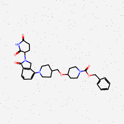 O=C1CCC(N2Cc3c(cccc3N3CCC(COC4CCN(C(=O)OCc5ccccc5)CC4)CC3)C2=O)C(=O)N1